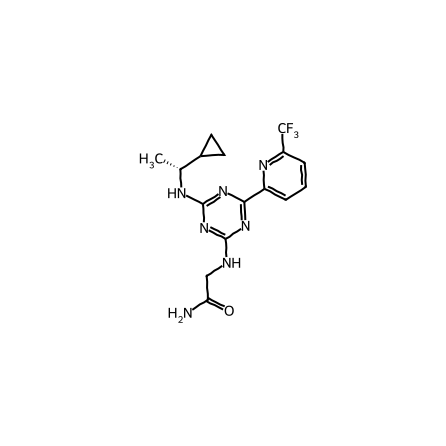 C[C@@H](Nc1nc(NCC(N)=O)nc(-c2cccc(C(F)(F)F)n2)n1)C1CC1